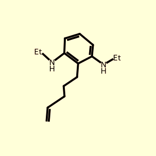 C=CCCCc1c(NCC)cccc1NCC